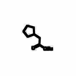 CC(C)[CH]OC(=O)CC1CCCC1